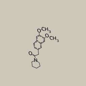 COc1cc2ccc(CC(=O)N3CCCCC3)cc2cc1OC